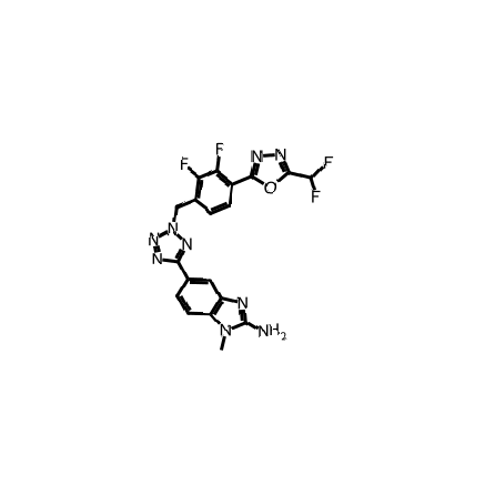 Cn1c(N)nc2cc(-c3nnn(Cc4ccc(-c5nnc(C(F)F)o5)c(F)c4F)n3)ccc21